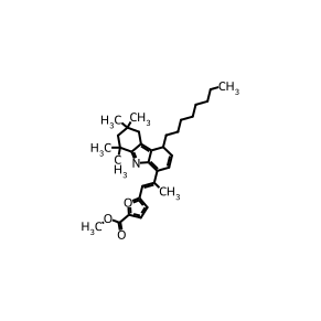 CCCCCCCCC1C=CC(C(C)=Cc2ccc(C(=O)OC)o2)=C2N=C3C(=C21)CC(C)(C)CC3(C)C